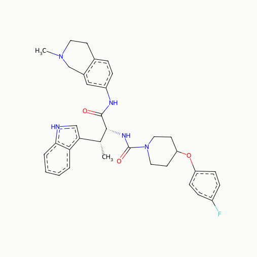 C[C@H](c1c[nH]c2ccccc12)[C@@H](NC(=O)N1CCC(Oc2ccc(F)cc2)CC1)C(=O)Nc1ccc2c(c1)CN(C)CC2